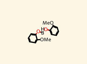 COc1ccccc1OBOc1ccccc1OC